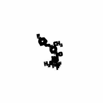 C[C@H]1CN(C(=O)c2cc(C(F)(F)F)n(C)n2)CCN1CCc1ccc(F)cc1